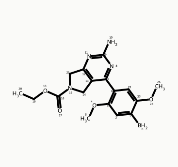 Bc1cc(OC)c(-c2nc(N)nc3c2CN(C(=O)OCC)C3)cc1OC